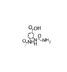 CC(=O)Nc1ccc(C(=O)O)cc1NC(=O)CN